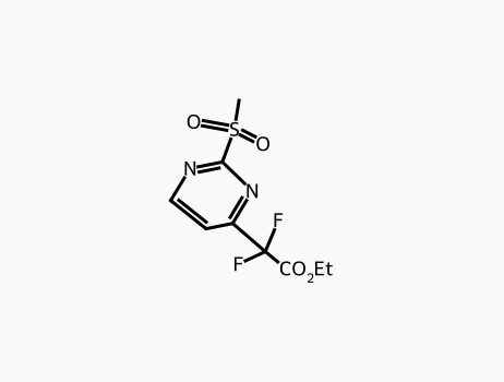 CCOC(=O)C(F)(F)c1ccnc(S(C)(=O)=O)n1